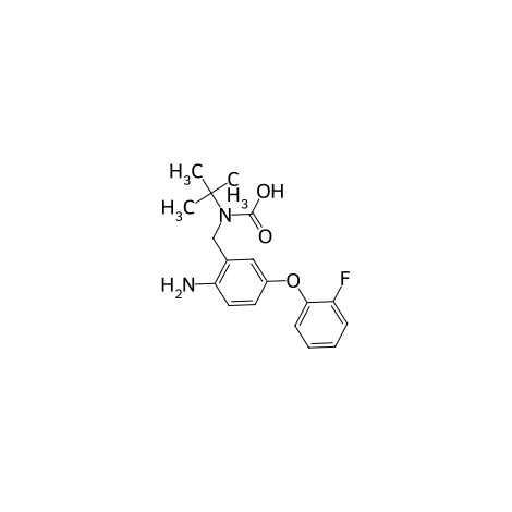 CC(C)(C)N(Cc1cc(Oc2ccccc2F)ccc1N)C(=O)O